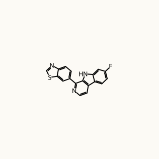 Fc1ccc2c(c1)[nH]c1c(-c3ccc4ncsc4c3)nccc12